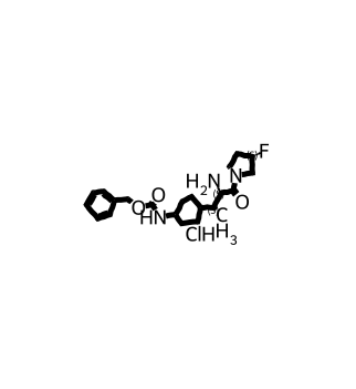 C[C@@H](C1CCC(NC(=O)OCc2ccccc2)CC1)[C@H](N)C(=O)N1CC[C@H](F)C1.Cl